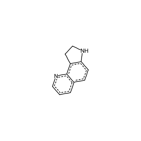 c1cnc2c3c(ccc2c1)NCC3